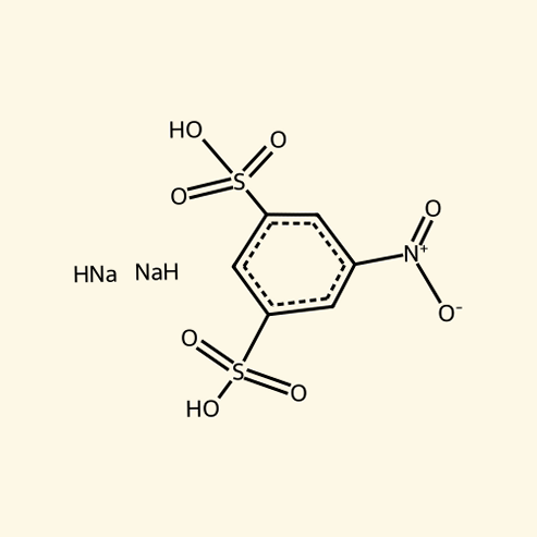 O=[N+]([O-])c1cc(S(=O)(=O)O)cc(S(=O)(=O)O)c1.[NaH].[NaH]